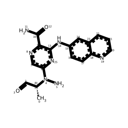 C[C@H](C=O)N(N)c1cnc(C(N)=O)c(Nc2ccc3ncccc3c2)n1